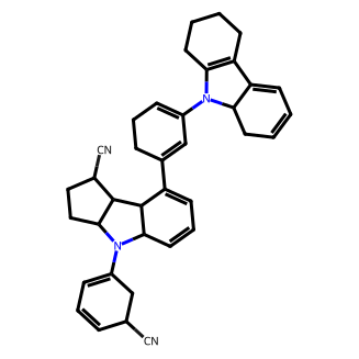 N#CC1C=CC=C(N2C3C=CC=C(C4=CC(N5C6=C(CCCC6)C6=CC=CCC65)=CCC4)C3C3C(C#N)CCC32)C1